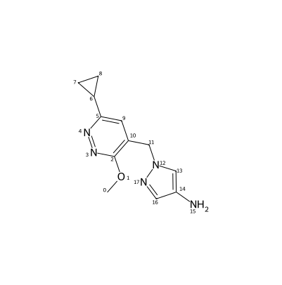 COc1nnc(C2CC2)cc1Cn1cc(N)cn1